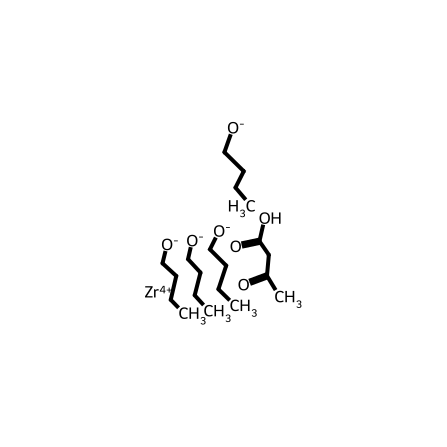 CC(=O)CC(=O)O.CCCC[O-].CCCC[O-].CCCC[O-].CCCC[O-].[Zr+4]